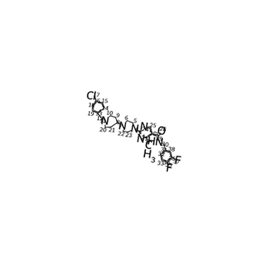 Cc1nc(N2CCN(C3CCN(Cc4ccc(Cl)cc4)CC3)CC2)ncc1C(=O)NCc1ccc(F)c(F)c1